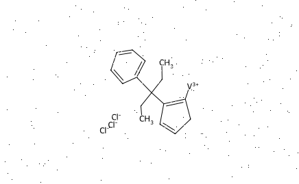 CCC(CC)(C1=[C]([V+3])CC=C1)c1ccccc1.[Cl-].[Cl-].[Cl-]